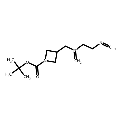 C=NCC[N+](=C)CC1CN(C(=O)OC(C)(C)C)C1